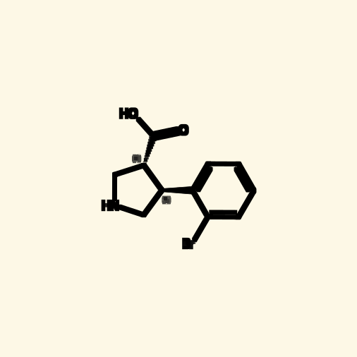 O=C(O)[C@H]1CNC[C@@H]1c1ccccc1Br